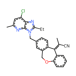 CCc1nc2c(Cl)cc(C)nc2n1Cc1ccc2c(c1)COc1ccccc1C2=C(C)C#N